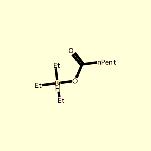 CCCCCC(=O)[O][BiH]([CH2]C)([CH2]C)[CH2]C